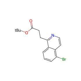 CC(C)(C)OC(=O)CCc1nccc2c(Br)cccc12